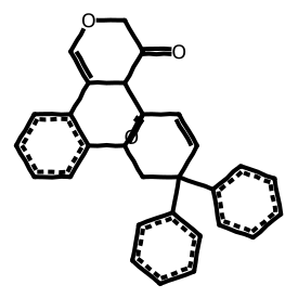 O=C1COC=C2c3ccccc3C34CC(c5ccccc5)(c5ccccc5)C=CC3(C=CCO4)C12